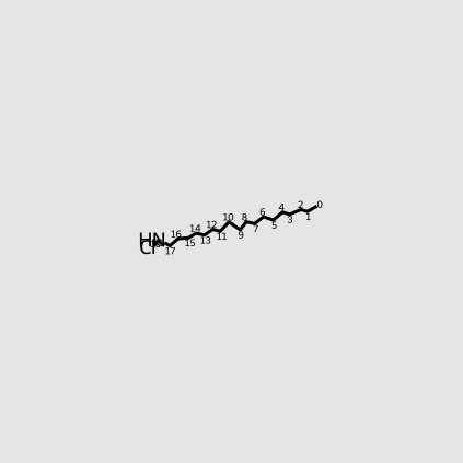 CCCCCCCCCCCCCCCCCCNCl